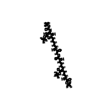 CC(C)(C)OC(=O)N=C(NCCCCCCNC(=O)COC(=O)NCCCCN(CCCNC(=O)OC(C)(C)C)C(=O)OC(C)(C)C)NC(=O)OC(C)(C)C